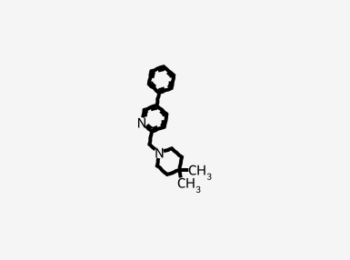 CC1(C)CCN(Cc2ccc(-c3ccccc3)cn2)CC1